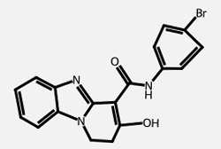 O=C(Nc1ccc(Br)cc1)C1=C(O)CCn2c1nc1ccccc12